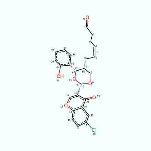 O=CCC/C=C\C[C@@H]1CO[C@H](c2coc3ccc(Cl)cc3c2=O)O[C@@H]1c1ccccc1O